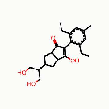 CCc1cc(C)cc(CC)c1C1=C(O)C2CC(C(CO)CO)CC2C1=O